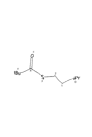 CC(C)CCSC(=O)C(C)(C)C